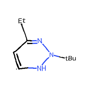 CCC1=NN(C(C)(C)C)N[C]=C1